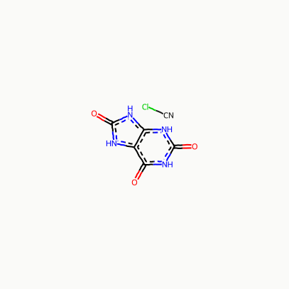 N#CCl.O=c1[nH]c(=O)c2[nH]c(=O)[nH]c2[nH]1